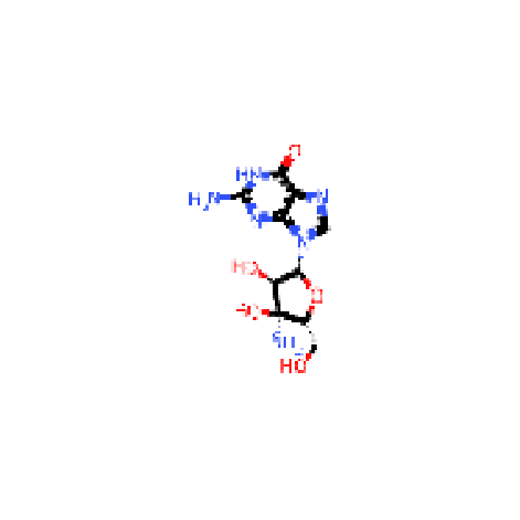 Nc1nc2c(ncn2[C@@H]2O[C@H](CO)[C@@](N)(O)[C@H]2O)c(=O)[nH]1